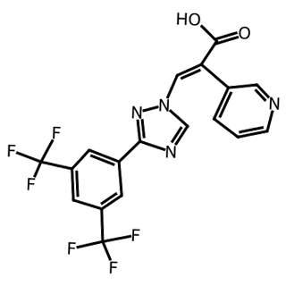 O=C(O)/C(=C/n1cnc(-c2cc(C(F)(F)F)cc(C(F)(F)F)c2)n1)c1cccnc1